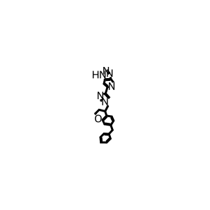 c1ccc(Cc2ccc3c(c2)OCCC3Cn2cnc(-c3cc4[nH]nnc4cn3)c2)cc1